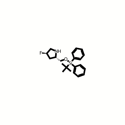 CC(C)(C)[Si](OC[C@@H]1C[C@@H](F)CN1)(c1ccccc1)c1ccccc1